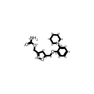 NC(=O)OCC1=NOC(COc2ccccc2N2CCCCC2)C1